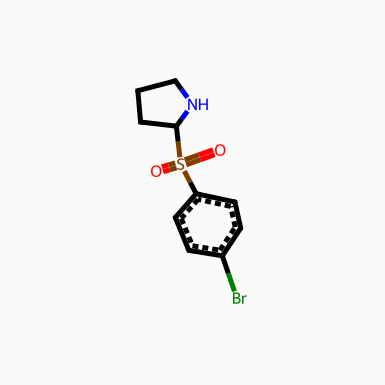 O=S(=O)(c1ccc(Br)cc1)C1CCCN1